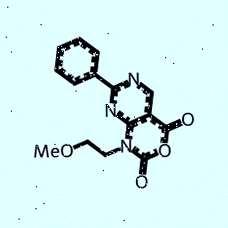 COCCn1c(=O)oc(=O)c2cnc(-c3ccccc3)nc21